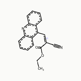 CCOC(=O)/C(C#N)=C\c1c2ccccc2nc2ccccc12